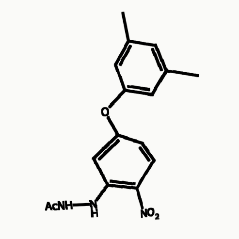 CC(=O)NNc1cc(Oc2cc(C)cc(C)c2)ccc1[N+](=O)[O-]